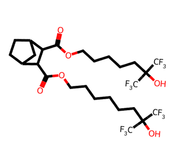 O=C(OCCCCCCC(O)(C(F)(F)F)C(F)(F)F)C1C2CCC(C2)C1C(=O)OCCCCCC(O)(C(F)(F)F)C(F)(F)F